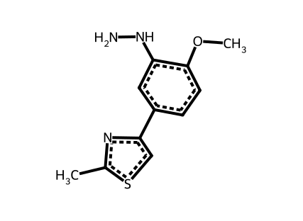 COc1ccc(-c2csc(C)n2)cc1NN